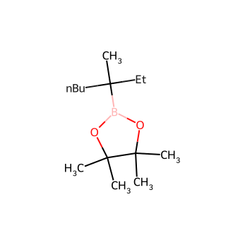 CCCCC(C)(CC)B1OC(C)(C)C(C)(C)O1